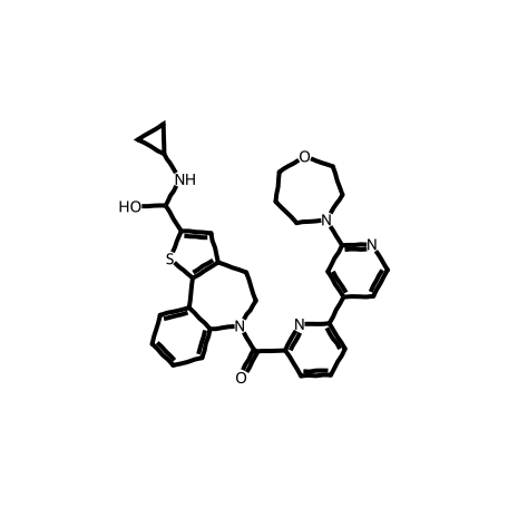 O=C(c1cccc(-c2ccnc(N3CCCOCC3)c2)n1)N1CCc2cc(C(O)NC3CC3)sc2-c2ccccc21